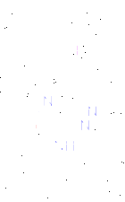 NC(=O)c1nnc2ccc(I)cc2c1N